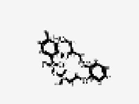 Cc1ccc(S(=O)(=O)OS(C)(C)CCOc2ccccc2OCC(O)CO)cc1